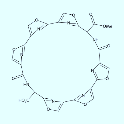 COC(=O)C1NC(=O)c2coc(n2)-c2coc(n2)-c2coc(n2)C(C(=O)O)NC(=O)c2coc(n2)-c2coc(n2)-c2coc1n2